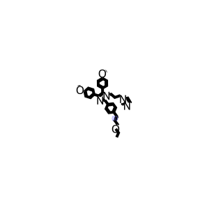 CCOC/C=C/c1ccc(-c2nc(-c3ccc(OC)cc3)c(-c3ccc(OC)cc3)n2CCCn2ccnc2)cc1